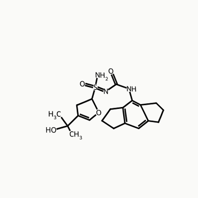 CC(C)(O)C1=COC(S(N)(=O)=NC(=O)Nc2c3c(cc4c2CCC4)CCC3)C1